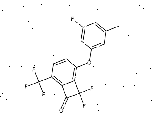 Cc1cc(F)cc(Oc2ccc(C(F)(F)F)c3c2C(F)(F)C3=O)c1